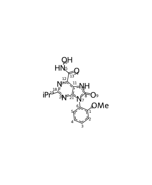 COc1ccccc1-n1c(=O)[nH]c2c(C(=O)NO)nc(C(C)C)nc21